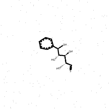 OC(c1ccccc1)[C@@H](O)[C@@H](O)[C@@H](O)C=S